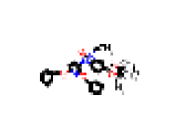 CCn1c(=O)n(-c2ccc(OCc3ccccc3)nc2OCc2ccccc2)c2ccc(B3OC(C)(C)C(C)(C)O3)cc21